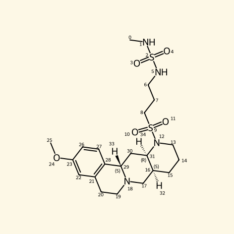 CNS(=O)(=O)NCCCS(=O)(=O)N1CCC[C@H]2CN3CCc4cc(OC)ccc4[C@@H]3C[C@H]21